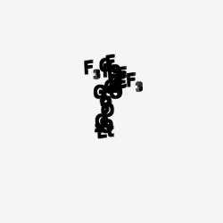 CCC(C)(C)C(=O)OCCOc1ccc(C(=O)C(C)(C)OC(=O)C(F)(OC(F)(F)C(C)(F)OCC(F)(F)C(F)(F)F)C(F)(F)F)cc1